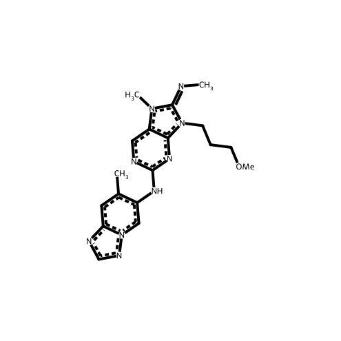 C/N=c1/n(C)c2cnc(Nc3cn4ncnc4cc3C)nc2n1CCCOC